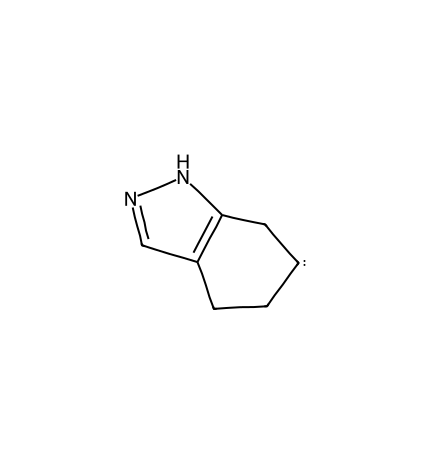 [C]1CCc2cn[nH]c2C1